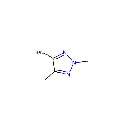 Cc1nn(C)nc1C(C)C